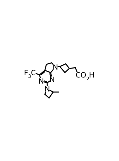 CC1CCN1c1nc2c(c(C(F)(F)F)n1)CCN2C1CC(CC(=O)O)C1